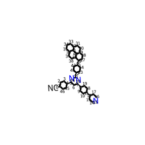 N#Cc1ccc(-c2cc(-c3ccc(-c4ccncc4)cc3)nc(-c3ccc(-c4ccc5ccc6cccc7ccc4c5c67)cc3)n2)cc1